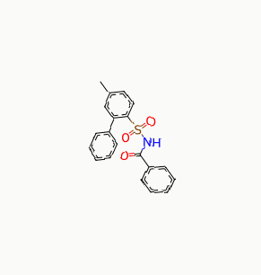 Cc1ccc(S(=O)(=O)NC(=O)c2ccccc2)c(-c2ccccc2)c1